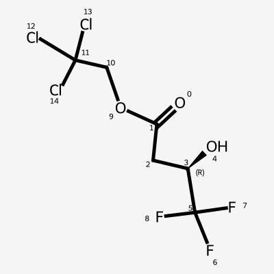 O=C(C[C@@H](O)C(F)(F)F)OCC(Cl)(Cl)Cl